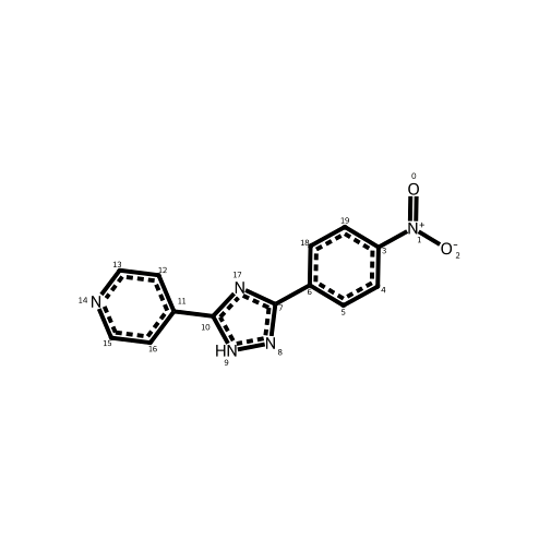 O=[N+]([O-])c1ccc(-c2n[nH]c(-c3ccncc3)n2)cc1